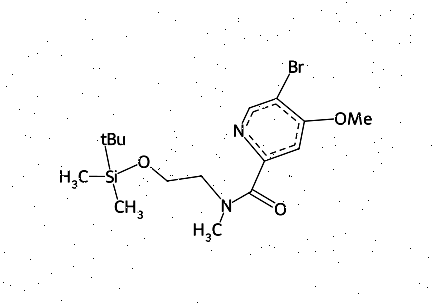 COc1cc(C(=O)N(C)CCO[Si](C)(C)C(C)(C)C)ncc1Br